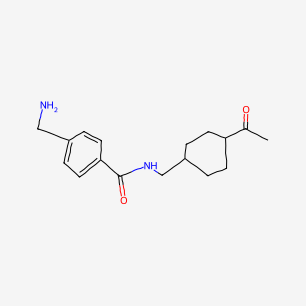 CC(=O)C1CCC(CNC(=O)c2ccc(CN)cc2)CC1